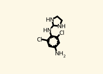 Nc1cc(Cl)c(NC2NCCN2)c(Cl)c1